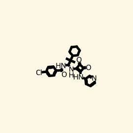 CC(C)(C1CCCCC1)C(NC(=O)c1ccc(Cl)cc1)Nc1c(Nc2cccnc2)c(=O)c1=O